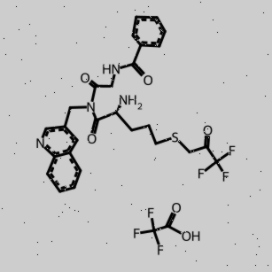 N[C@@H](CCCSCC(=O)C(F)(F)F)C(=O)N(Cc1cnc2ccccc2c1)C(=O)CNC(=O)c1ccccc1.O=C(O)C(F)(F)F